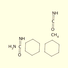 C.C1CCCCC1.C1CCCCC1.N.N=C=O.N=C=O